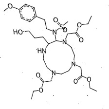 CCOC(=O)CN1CCNC(CCCO)C(N(CCc2ccc(OC)cc2)S(C)(=O)=O)N(CC(=O)OCC)CCN(CC(=O)OCC)CC1